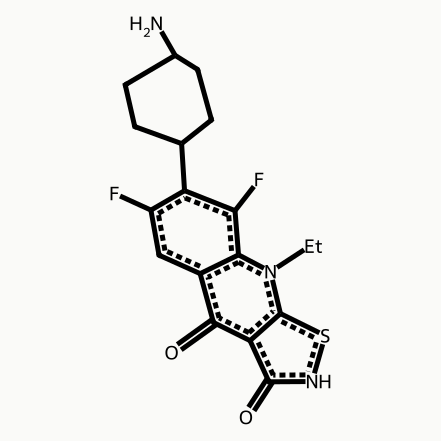 CCn1c2s[nH]c(=O)c2c(=O)c2cc(F)c(C3CCC(N)CC3)c(F)c21